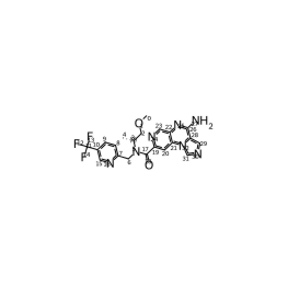 COC[C@@H](C)N(Cc1ccc(C(F)(F)F)cn1)C(=O)c1cc2c(cn1)nc(N)c1cncn12